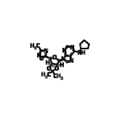 Cc1noc([C@H]2O[C@@H](n3cnc4c(NC5CCCC5)ncnc43)[C@H]3OC(C)(C)O[C@H]32)n1